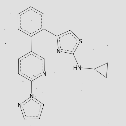 c1ccc(-c2csc(NC3CC3)n2)c(-c2ccc(-n3cccn3)nc2)c1